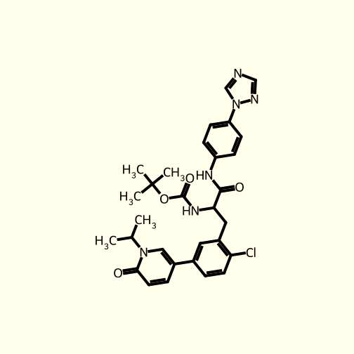 CC(C)n1cc(-c2ccc(Cl)c(CC(NC(=O)OC(C)(C)C)C(=O)Nc3ccc(-n4cncn4)cc3)c2)ccc1=O